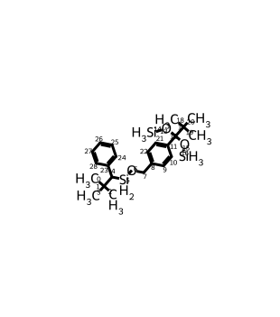 CC(C)(C)C([SiH2]OCc1ccc(C(O[SiH3])(O[SiH3])C(C)(C)C)cc1)c1ccccc1